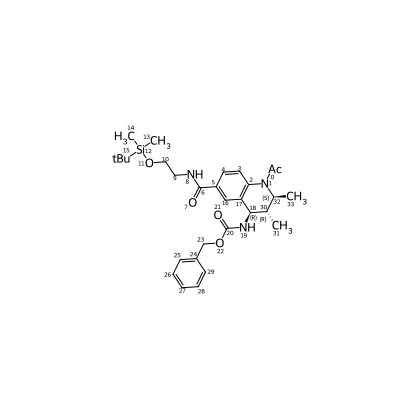 CC(=O)N1c2ccc(C(=O)NCCO[Si](C)(C)C(C)(C)C)cc2[C@H](NC(=O)OCc2ccccc2)[C@@H](C)[C@@H]1C